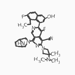 CCc1c(F)ccc2cc(O)cc(-c3ncc4c(N5CC6CCC(C5)N6)nc(N5CC(C)(N(C)C)C5)c(C#N)c4c3F)c12